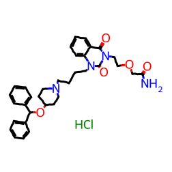 Cl.NC(=O)COCCn1c(=O)c2ccccc2n(CCCCN2CCC(OC(c3ccccc3)c3ccccc3)CC2)c1=O